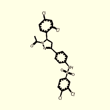 CC(=O)N1N=C(c2ccc(NS(=O)(=O)c3ccc(Cl)c(Cl)c3)cc2)CC1c1ccc(Cl)cc1Cl